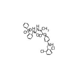 C[C@H](NC(=O)Nc1ccccc1S(=O)(=O)c1ccccc1)C(=O)Oc1ccc(NCc2c(Cl)cccc2Cl)cc1